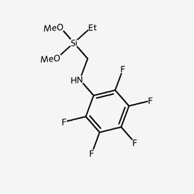 CC[Si](CNc1c(F)c(F)c(F)c(F)c1F)(OC)OC